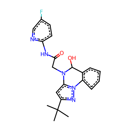 CC(C)(C)c1cc2n(n1)-c1ccccc1C(O)N2CC(=O)Nc1ccc(F)cn1